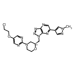 Cn1cc(-c2cnc3nnn(C[C@@H]4CN(c5ncc(OCCCl)cn5)CCO4)c3n2)cn1